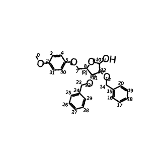 COc1ccc(OC[C@H]2OC(O)[C@H](OCc3ccccc3)[C@@H]2OCc2ccccc2)cc1